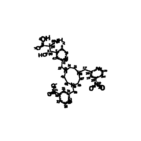 N[C@H](C(=O)O)[C@@H](O)c1ccnc(CN2CCN(Cc3cc([N+](=O)[O-])ccn3)CCN(Cc3cc([N+](=O)[O-])ccn3)CC2)c1